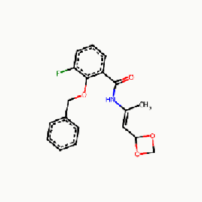 C/C(=C\C1OCO1)NC(=O)c1cccc(F)c1OCc1ccccc1